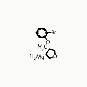 C1CCOC1.COc1ccccc1Br.[MgH2]